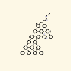 C=C/C=C\C=C/CCCc1ccc(-c2ccccc2-c2cc(/C(=C/C=C\C)C(=C)c3ccc(-c4ccnc(-c5ccc(-c6ccccc6-c6cc(-c7ccccc7-c7ccc(-c8ccccc8)nc7)cc(-c7ccccc7-c7ccc(-c8ccccc8)nc7)c6)cc5)c4)nc3)cc(-c3ccccc3-c3ccc(-c4ccccc4)nc3)c2)cn1